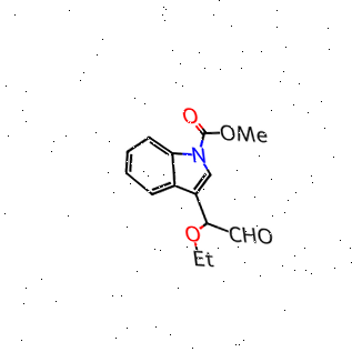 CCOC(C=O)c1cn(C(=O)OC)c2ccccc12